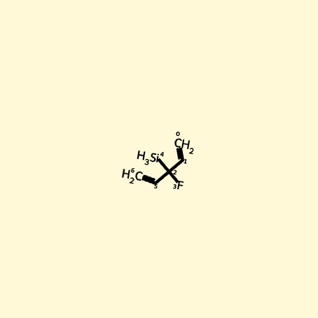 C=CC(F)([SiH3])C=C